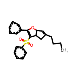 CCCCC1=CC2OC(c3ccccc3)=C(S(=O)(=O)c3ccccc3)C2C1